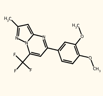 COc1ccc(-c2cc(C(F)(F)F)n3nc(C)cc3n2)cc1OC